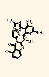 Cc1noc(-c2c(N)nc(N)nc2N[C@@H](C)c2nc3cccc(Cl)c3c(=O)n2-c2cc[nH]n2)n1